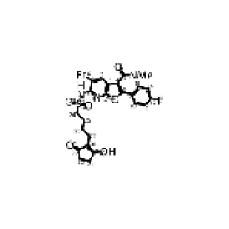 CCc1cc2c(C(=O)NC)c(-c3ccc(F)cc3)oc2nc1NS(=O)(=O)CCCCC1=C(O)CCC1=O